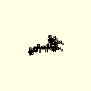 Cc1ccoc1-c1ccc(C(=O)NCCCNC(=O)C[C@@H]2N=C(c3ccc(Cl)cc3)c3c(sc(C)c3C)-n3c(C)nnc32)cc1